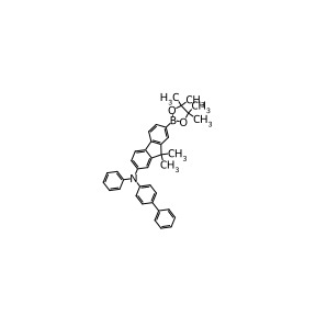 CC1(C)c2cc(B3OC(C)(C)C(C)(C)O3)ccc2-c2ccc(N(c3ccccc3)c3ccc(-c4ccccc4)cc3)cc21